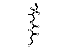 C=CS(=O)(=O)C(C)CNC(=O)NC(=O)CCCl